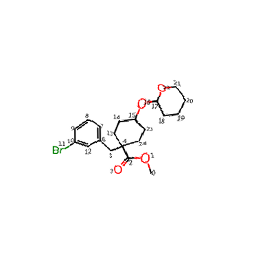 COC(=O)C1(Cc2cccc(Br)c2)CCC(OC2CCCCO2)CC1